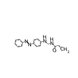 C=CC(=O)NCNc1ccc(N=Nc2ccccc2)cc1